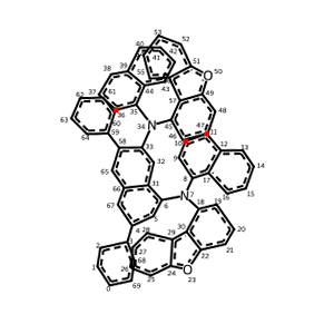 c1ccc(-c2cc(N(c3cccc4ccccc34)c3cccc4oc5ccccc5c34)c3cc(N(c4cccc5ccccc45)c4cccc5oc6ccccc6c45)c(-c4ccccc4)cc3c2)cc1